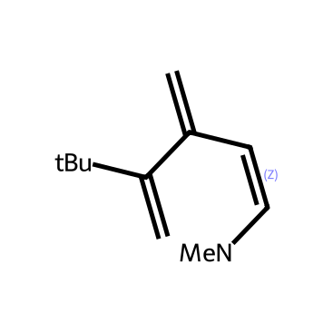 C=C(/C=C\NC)C(=C)C(C)(C)C